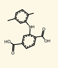 Cc1ccc(C)c(Nc2cc(C(=O)O)ccc2C(=O)O)c1